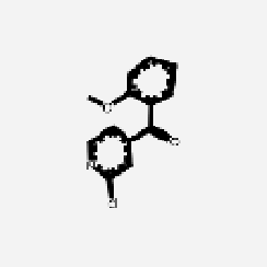 COc1ccccc1C(=O)c1ccnc(Cl)c1